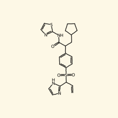 C=CC(c1ncc[nH]1)S(=O)(=O)c1ccc(C(CC2CCCC2)C(=O)Nc2nccs2)cc1